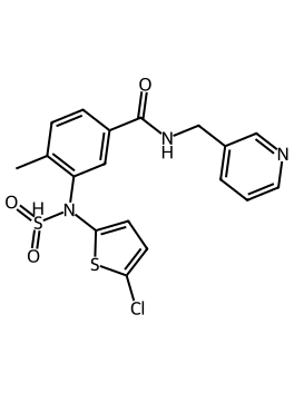 Cc1ccc(C(=O)NCc2cccnc2)cc1N(c1ccc(Cl)s1)[SH](=O)=O